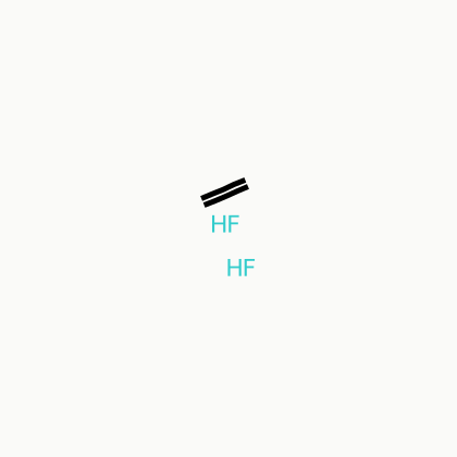 C=C.F.F